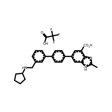 Cc1nc2c(C(=O)O)cc(-c3ccc(-c4cccc(CNC5CCCC5)c4)cc3)cc2[nH]1.O=C(O)C(F)(F)F